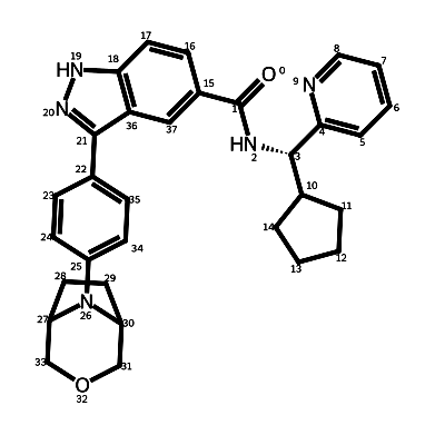 O=C(N[C@H](c1ccccn1)C1CCCC1)c1ccc2[nH]nc(-c3ccc(N4C5CCC4COC5)cc3)c2c1